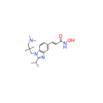 CC(C)c1nc2cc(C=CC(=O)NO)ccc2n1CC(C)(C)CN(C)C